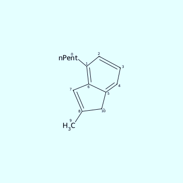 CCCCCc1cccc2c1C=C(C)[CH]2